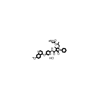 CNCC(=O)OC(C)Cn1c(C)c(C(=O)Nc2ccc(Oc3ccnc4cc(OC)ccc34)cn2)c(=O)n1-c1ccccc1.Cl